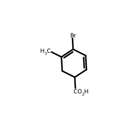 CC1=C(Br)C=CC(C(=O)O)C1